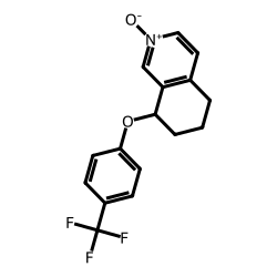 [O-][n+]1ccc2c(c1)C(Oc1ccc(C(F)(F)F)cc1)CCC2